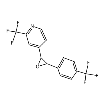 FC(F)(F)c1ccc(C2OC2c2ccnc(C(F)(F)F)c2)cc1